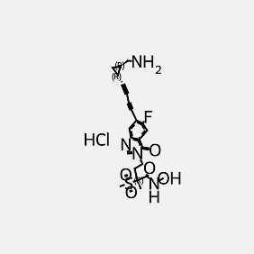 C[C@@](CCn1cnc2cc(C#CC#C[C@@H]3C[C@H]3CN)c(F)cc2c1=O)(C(=O)NO)S(C)(=O)=O.Cl